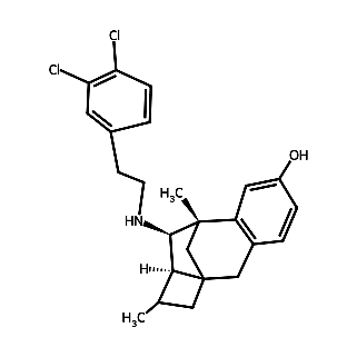 CC1CC23Cc4ccc(O)cc4[C@](C)(C2)[C@H](NCCc2ccc(Cl)c(Cl)c2)[C@H]13